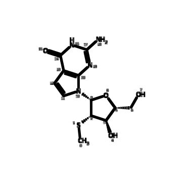 CS[C@H]1[C@H](O)[C@@H](CO)O[C@H]1n1ccc2c(=O)[nH]c(N)nc21